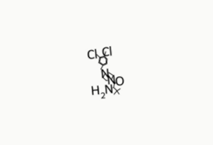 CC(C)(C)[C@H](N)C(=O)N1CCN(Cc2ccc(Cl)c(Cl)c2)CC1